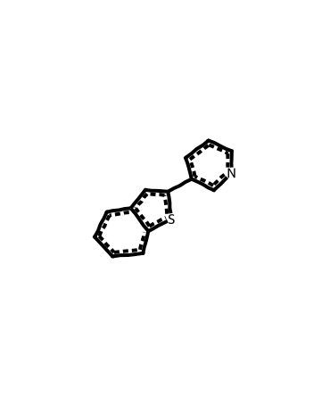 c1cncc(-c2cc3ccccc3s2)c1